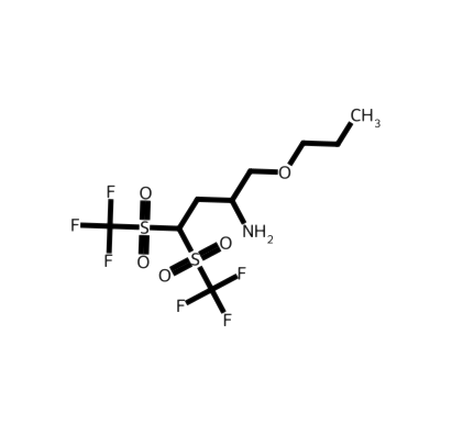 CCCOCC(N)CC(S(=O)(=O)C(F)(F)F)S(=O)(=O)C(F)(F)F